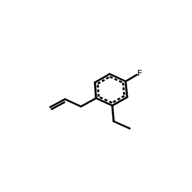 C=CCc1ccc(F)cc1CC